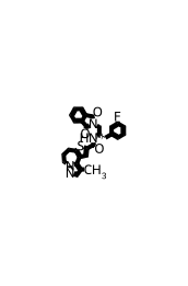 Cc1cnn2c1-c1cc(C(=O)N[C@@H](Cc3cccc(F)c3)CN3C(=O)c4ccccc4C3=O)sc1CCC2